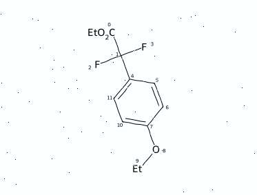 CCOC(=O)C(F)(F)c1ccc(OCC)cc1